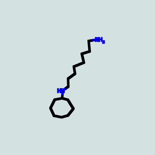 NCCCCCCCCNC1CCCCCCC1